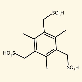 Cc1c(CS(=O)(=O)O)c(C)c(CS(=O)(=O)O)c(C)c1CS(=O)(=O)O